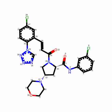 O=C(Nc1cccc(Cl)c1)[C@@H]1C[C@H](N2CCOCC2)CN1C(=O)/C=C/c1cc(Cl)ccc1-n1cnnn1